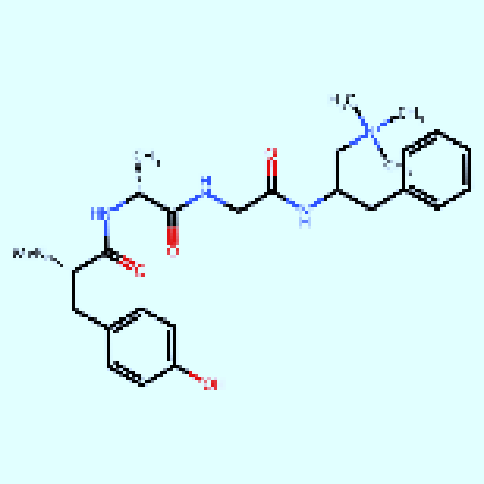 CN[C@@H](Cc1ccc(O)cc1)C(=O)N[C@H](C)C(=O)NCC(=O)NC(Cc1ccccc1)C[N+](C)(C)C